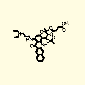 CCN(CC)CCCNc1cc2c(c3c1c(=O)c1cc4ccccc4cc1n3C)C(OC(C)=O)C(OC(=O)CCC(=O)O)C(C)(C)O2